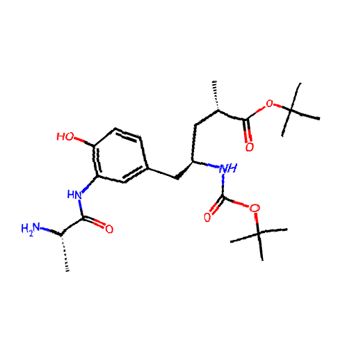 C[C@H](N)C(=O)Nc1cc(C[C@@H](C[C@H](C)C(=O)OC(C)(C)C)NC(=O)OC(C)(C)C)ccc1O